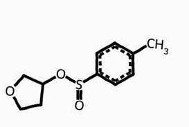 Cc1ccc(S(=O)OC2CCOC2)cc1